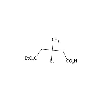 CCOC(=O)CC(C)(CC)CC(=O)O